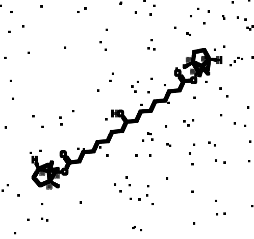 CC1(C)[C@@H]2CC[C@@]1(C)[C@@H](OC(=O)CCCCCCCC(O)CCCCCCCC(=O)O[C@H]1C[C@H]3CC[C@]1(C)C3(C)C)C2